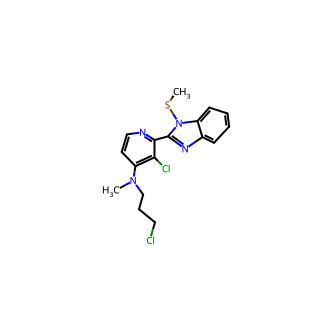 CSn1c(-c2nccc(N(C)CCCCl)c2Cl)nc2ccccc21